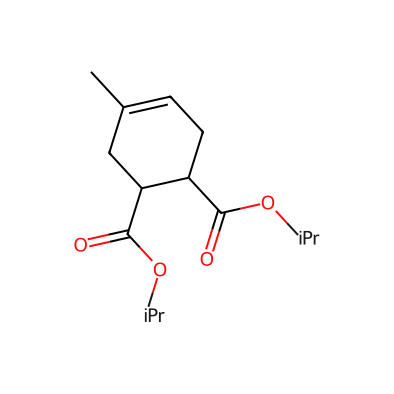 CC1=CCC(C(=O)OC(C)C)C(C(=O)OC(C)C)C1